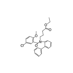 CCOC(=O)CCCN(C(=O)c1cc(Cl)ccc1OC)c1ccccc1-c1ccccc1